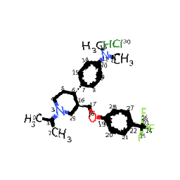 CC(C)N1CC[C@H](c2ccc(N(C)C)cc2)[C@@H](COc2ccc(C(F)(F)F)cc2)C1.Cl